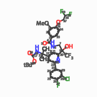 COc1cc(C(=O)NCC(O)(c2cc(C(C)(C)NC(=O)OC(C)(C)C)cc(-c3ccc(F)c(Cl)c3)n2)C(F)(F)F)ccc1OCC(F)F